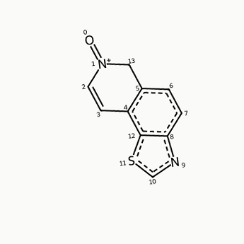 O=[N+]1C=Cc2c(ccc3ncsc23)C1